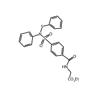 CCOC(=O)CNC(=O)c1ccc(S(=O)(=O)N(Sc2ccccc2)c2ccccc2)cc1